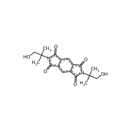 CC(C)(CO)n1c(=O)c2cc3c(=O)n(C(C)(C)CO)c(=O)c3cc2c1=O